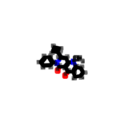 Cn1c2c(c(=O)c3c(=O)n(-c4ccccc4)c(C4=CC=C4)cc31)CCCC2